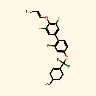 CCCC1CC=C(C(F)(F)Oc2ccc(-c3cc(F)c(O/C=C/C(F)(F)F)c(F)c3)c(F)c2)CC1